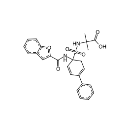 CC(C)(NS(=O)(=O)C1(NC(=O)c2cc3ccccc3o2)C=CC(c2ccccc2)=CC1)C(=O)O